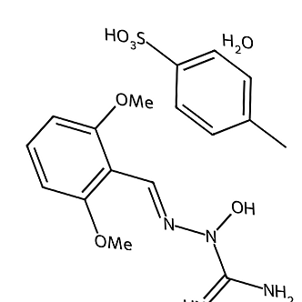 COc1cccc(OC)c1/C=N/N(O)C(=N)N.Cc1ccc(S(=O)(=O)O)cc1.O